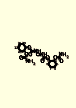 NC(=O)O[C@H]1CC=CC[C@H]1OC(=O)NONC(=O)O[C@@H]1CC=CC[C@@H]1OC(N)=O